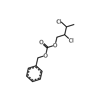 CC(Cl)C(Cl)COC(=O)OCc1ccccc1